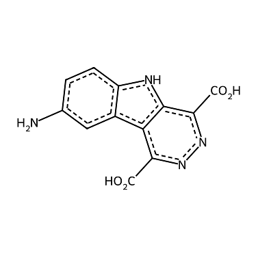 Nc1ccc2[nH]c3c(C(=O)O)nnc(C(=O)O)c3c2c1